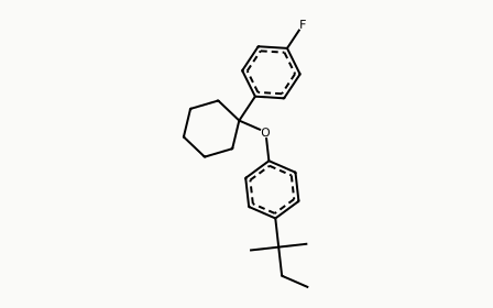 CCC(C)(C)c1ccc(OC2(c3ccc(F)cc3)CCCCC2)cc1